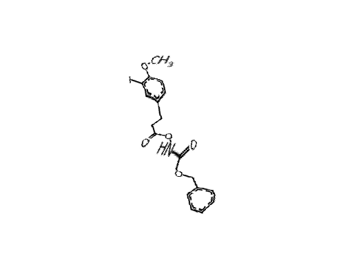 COc1ccc(CCC(=O)ONC(=O)OCc2ccccc2)cc1I